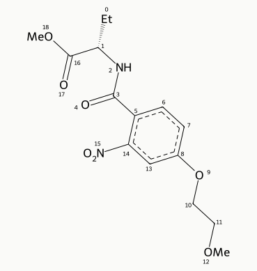 CC[C@H](NC(=O)c1ccc(OCCOC)cc1[N+](=O)[O-])C(=O)OC